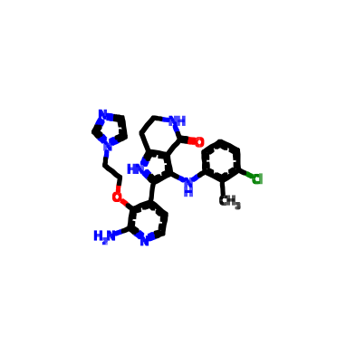 Cc1c(Cl)cccc1Nc1c(-c2ccnc(N)c2OCCn2ccnc2)[nH]c2c1C(=O)NCC2